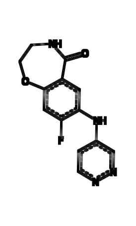 O=C1NCCOc2cc(F)c(Nc3ccnnc3)cc21